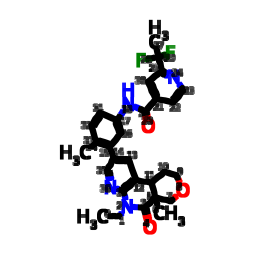 CCN1C(=O)C2(C)COCCC2c2cc(-c3cc(NC(=O)c4ccnc(C(C)(F)F)c4)ccc3C)cnc21